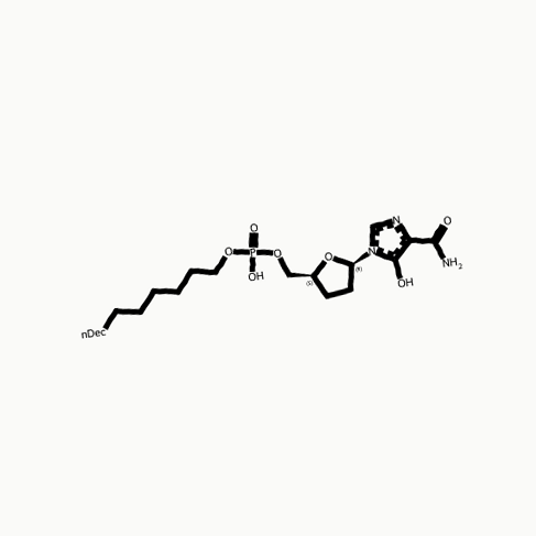 CCCCCCCCCCCCCCCCOP(=O)(O)OC[C@@H]1CC[C@H](n2cnc(C(N)=O)c2O)O1